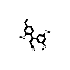 CCc1ccc(C(=CC#N)c2cc(OC)cc(OC)c2)c(OC)c1